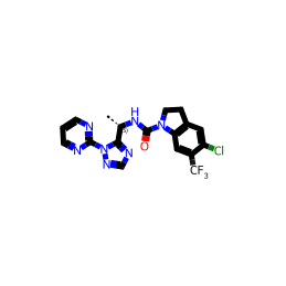 C[C@H](NC(=O)N1CCc2cc(Cl)c(C(F)(F)F)cc21)c1ncnn1-c1ncccn1